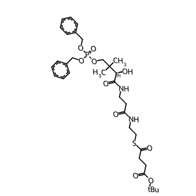 CC(C)(C)OC(=O)CCC(=O)SCCNC(=O)CCNC(=O)[C@H](O)C(C)(C)COP(=O)(OCc1ccccc1)OCc1ccccc1